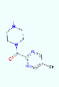 CCc1cnc(C(=O)N2CCN(C)CC2)nc1